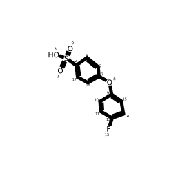 O=S(=O)(O)c1ccc(Oc2ccc(F)cc2)cc1